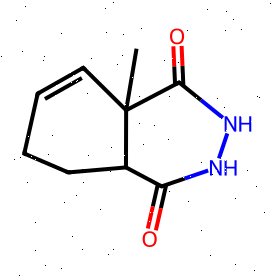 CC12C=CCCC1C(=O)NNC2=O